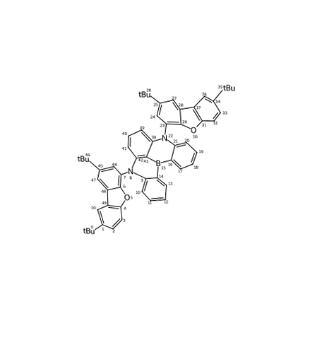 CC(C)(C)c1ccc2oc3c(N4c5ccccc5B5c6ccccc6N(c6cc(C(C)(C)C)cc7c6oc6ccc(C(C)(C)C)cc67)c6cccc4c65)cc(C(C)(C)C)cc3c2c1